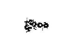 Cc1cccc(F)c1C1CCC(c2cc3ncc(C(C)(F)F)nc3n(Cc3ncccc3C(F)(F)F)c2=O)CC1